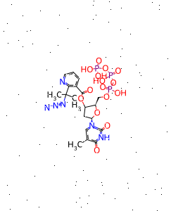 Cc1cn([C@H]2CC(OC(=O)c3cccnc3C(C)(C)N=[N+]=[N-])[C@@H](COP(=O)(O)OP(=O)(O)OP(=O)(O)O)O2)c(=O)[nH]c1=O